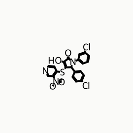 O=C1C(O)=C(Sc2ccncc2[N+](=O)[O-])C(c2ccc(Cl)cc2)N1c1cccc(Cl)c1